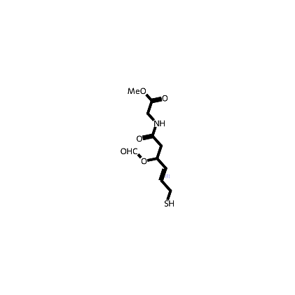 COC(=O)CNC(=O)CC(/C=C/CS)OC=O